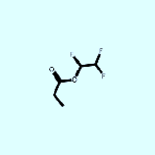 CCC(=O)OC(F)C(F)F